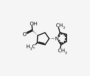 CC1=C[C@@H](n2c(C)ccc2C)C[C@H]1C(=O)O